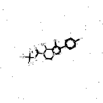 CC1c2c(N)c(-c3ccc(F)cc3)nn2CCN1C(=O)OC(C)(C)C